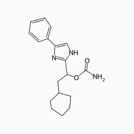 NC(=O)OC(CC1CCCCC1)c1nc(-c2ccccc2)c[nH]1